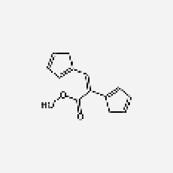 O=C(OO)C(=CC1=CC=CC1)C1=CC=CC1